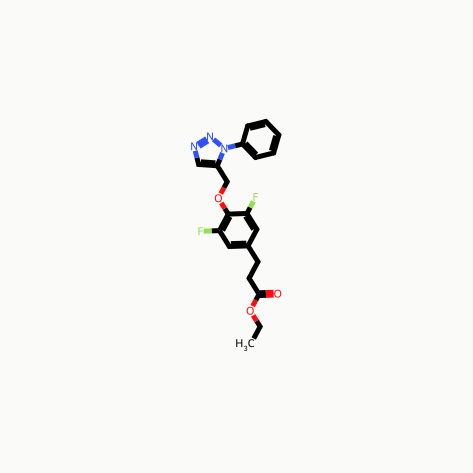 CCOC(=O)CCc1cc(F)c(OCc2cnnn2-c2ccccc2)c(F)c1